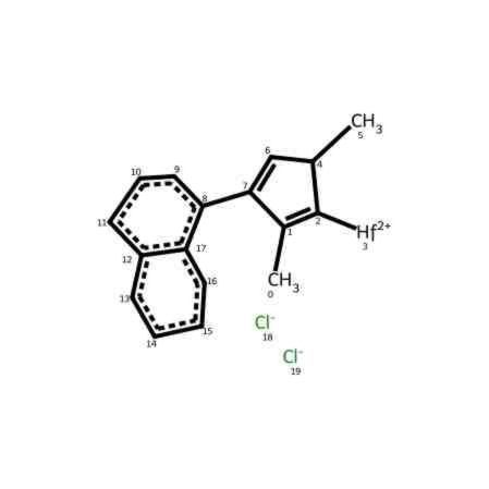 CC1=[C]([Hf+2])C(C)C=C1c1cccc2ccccc12.[Cl-].[Cl-]